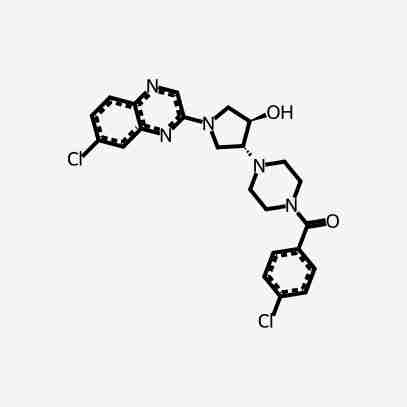 O=C(c1ccc(Cl)cc1)N1CCN([C@@H]2CN(c3cnc4ccc(Cl)cc4n3)C[C@H]2O)CC1